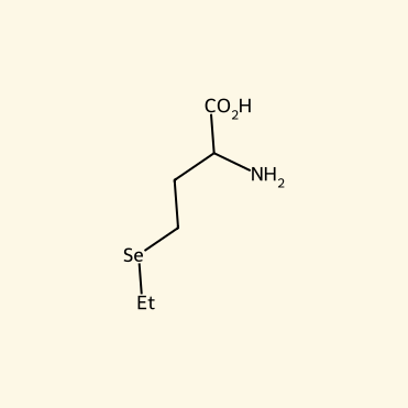 CC[Se]CCC(N)C(=O)O